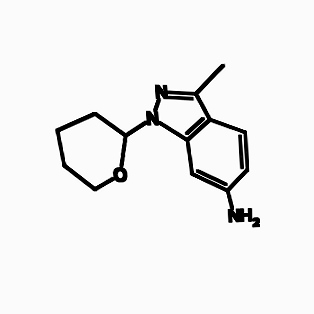 Cc1nn(C2CCCCO2)c2cc(N)ccc12